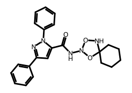 O=C(NN1ONC2(CCCCC2)O1)c1cc(-c2ccccc2)nn1-c1ccccc1